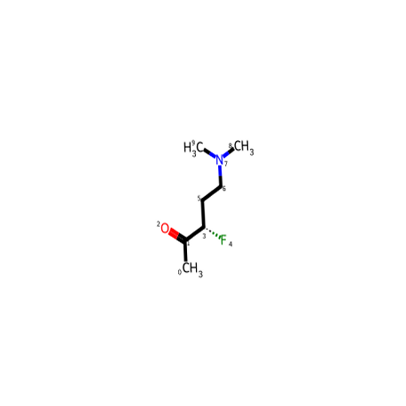 CC(=O)[C@@H](F)CCN(C)C